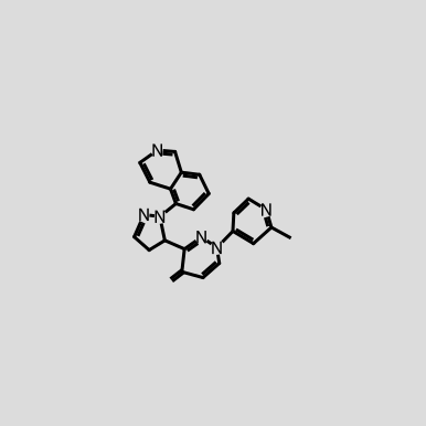 C=C1C=CN(c2ccnc(C)c2)N=C1C1CC=NN1c1cccc2cnccc12